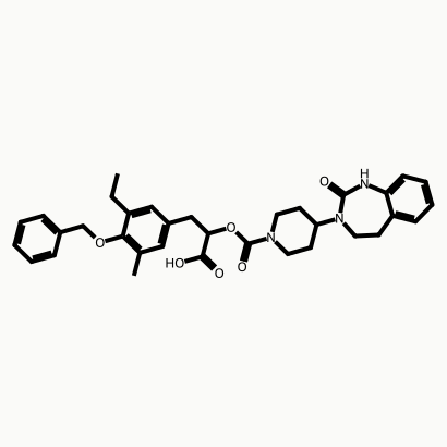 CCc1cc(CC(OC(=O)N2CCC(N3CCc4ccccc4NC3=O)CC2)C(=O)O)cc(C)c1OCc1ccccc1